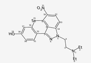 CCN(CC)CCn1nc2c3c(c([N+](=O)[O-])ccc31)[Se]c1cc(O)ccc1-2